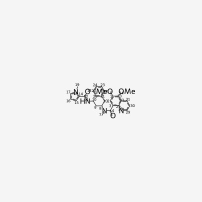 COc1cc(C(=O)N(C)C(CCNC(=O)c2cccn2C)Cc2ccccc2)c2ncccc2c1OC